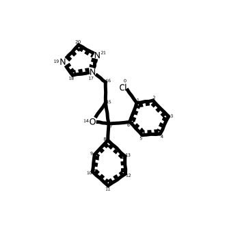 Clc1ccccc1C1(c2ccccc2)OC1Cn1cncn1